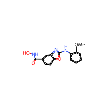 COc1ccccc1Nc1nc2cc(C(=O)NO)ccc2o1